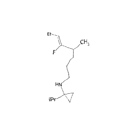 CC/C=C(\F)C(C)CCCNC1(C(C)C)CC1